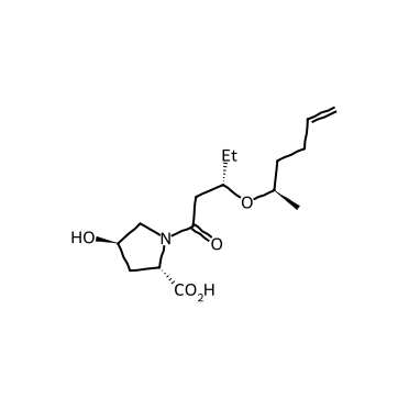 C=CCC[C@@H](C)O[C@@H](CC)CC(=O)N1C[C@H](O)C[C@H]1C(=O)O